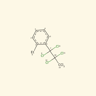 [CH2]Cc1ccccc1C(Cl)(Cl)C(Cl)(Cl)C(Cl)(Cl)Cl